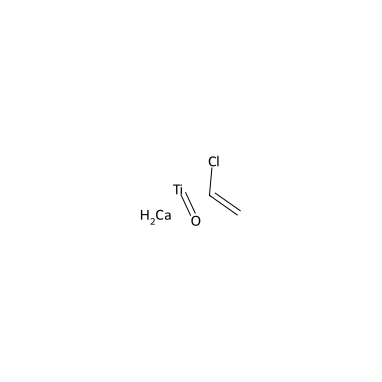 C=CCl.[CaH2].[O]=[Ti]